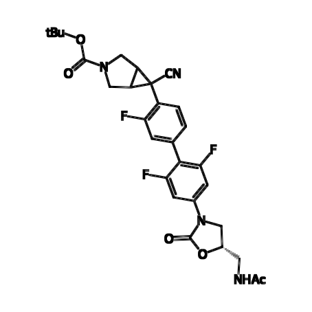 CC(=O)NC[C@H]1CN(c2cc(F)c(-c3ccc(C4(C#N)C5CN(C(=O)OC(C)(C)C)CC54)c(F)c3)c(F)c2)C(=O)O1